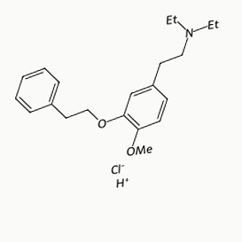 CCN(CC)CCc1ccc(OC)c(OCCc2ccccc2)c1.[Cl-].[H+]